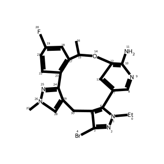 CCn1nc(Br)c2c1-c1cnc(N)c(c1)OC(C)c1cc(F)ccc1-c1nn(C)cc1C2